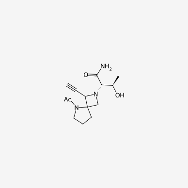 C#CC1N([C@H](C(N)=O)[C@@H](C)O)CC12CCCN2C(C)=O